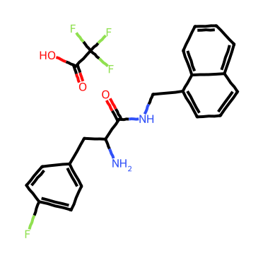 NC(Cc1ccc(F)cc1)C(=O)NCc1cccc2ccccc12.O=C(O)C(F)(F)F